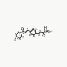 CN1CCN(C(=O)/C=C/c2ccc(/C=C/C(=O)NO)cc2)CC1